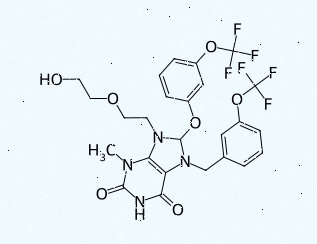 Cn1c2c(c(=O)[nH]c1=O)N(Cc1cccc(OC(F)(F)F)c1)C(Oc1cccc(OC(F)(F)F)c1)N2CCOCCO